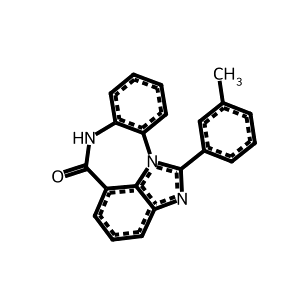 Cc1cccc(-c2nc3cccc4c3n2-c2ccccc2NC4=O)c1